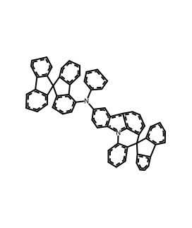 c1ccc(N(c2ccc3c(c2)c2cccc4c2n3-c2ccccc2C42c3ccccc3-c3ccccc32)c2cccc3c2-c2ccccc2C32c3ccccc3-c3ccccc32)cc1